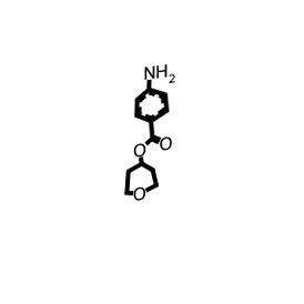 Nc1ccc(C(=O)OC2CCOCC2)cc1